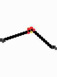 CCCCCCCCCCCCCCCCCCOC(=O)SC(=O)OCCCCCCCCCCCCCCCCCC